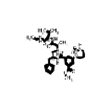 CCNC(=O)[C@@H](NC(=O)[C@H](C)NC[C@H](Cc1ccccc1)NC(=O)c1cc(C(=O)OC)cc(N2CCCNS2(=O)=O)c1)C(C)C